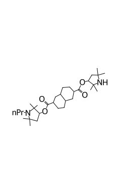 CCCN1C(C)(C)CC(OC(=O)C2CCC3CC(C(=O)OC4CC(C)(C)NC4(C)C)CCC3C2)C1(C)C